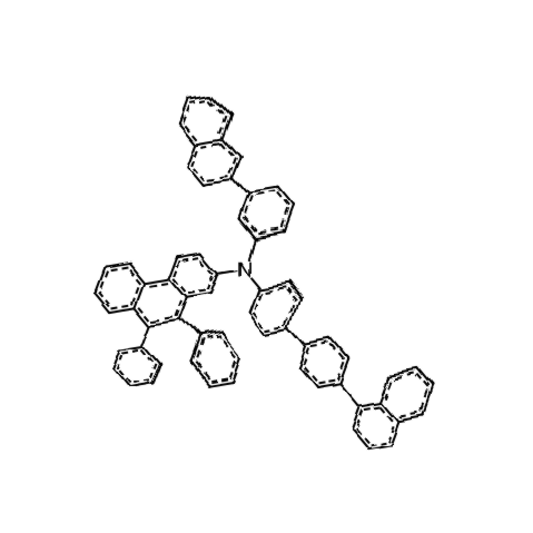 c1ccc(-c2c(-c3ccccc3)c3cc(N(c4ccc(-c5ccc(-c6cccc7ccccc67)cc5)cc4)c4cccc(-c5ccc6ccccc6c5)c4)ccc3c3ccccc23)cc1